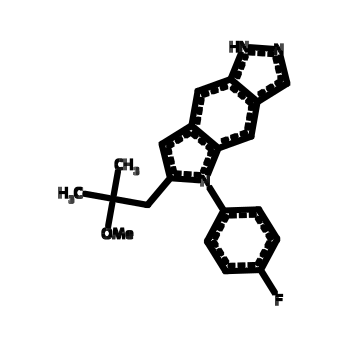 COC(C)(C)Cc1cc2cc3[nH]ncc3cc2n1-c1ccc(F)cc1